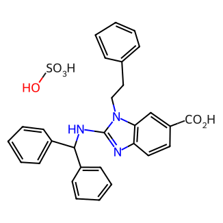 O=C(O)c1ccc2nc(NC(c3ccccc3)c3ccccc3)n(CCc3ccccc3)c2c1.O=S(=O)(O)O